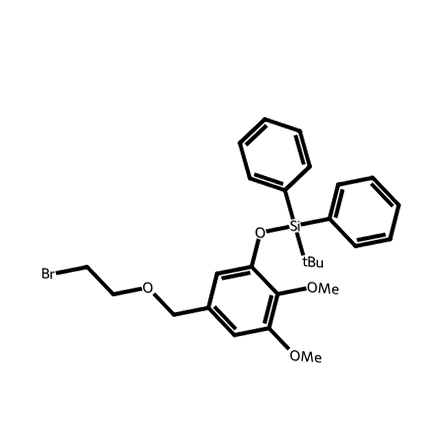 COc1cc(COCCBr)cc(O[Si](c2ccccc2)(c2ccccc2)C(C)(C)C)c1OC